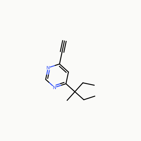 C#Cc1cc(C(C)(CC)CC)ncn1